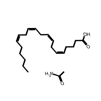 CC(N)=O.CCCCC/C=C\C/C=C\C/C=C\C/C=C\CCCC(=O)O